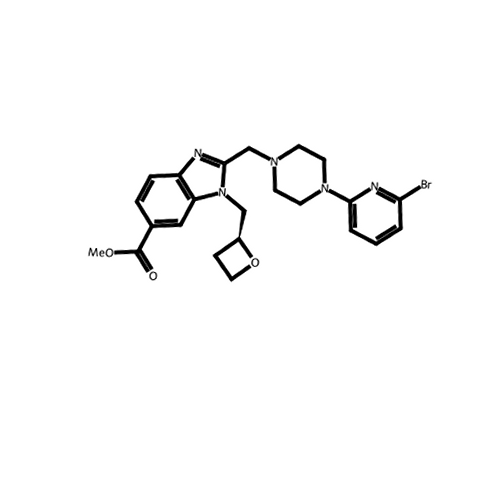 COC(=O)c1ccc2nc(CN3CCN(c4cccc(Br)n4)CC3)n(C[C@@H]3CCO3)c2c1